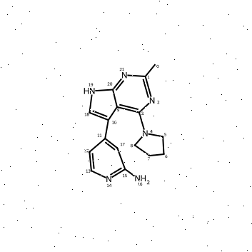 Cc1nc(N2CCCC2)c2c(-c3ccnc(N)c3)c[nH]c2n1